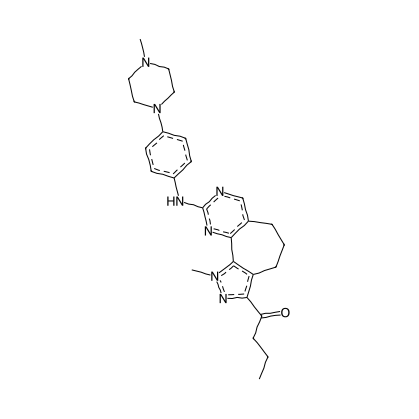 CCCC(=O)c1nn(C)c2c1CCCc1cnc(Nc3ccc(N4CCN(C)CC4)cc3)nc1-2